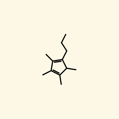 CCCC1=C(C)C(C)=C(C)C1C